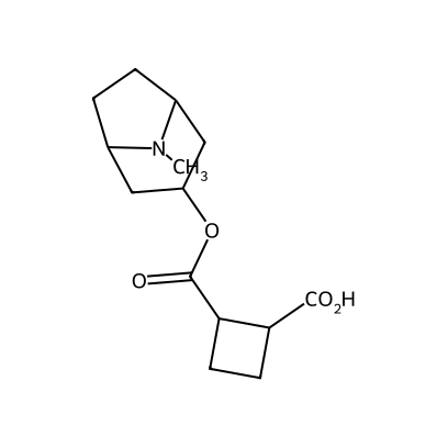 CN1C2CCC1CC(OC(=O)C1CCC1C(=O)O)C2